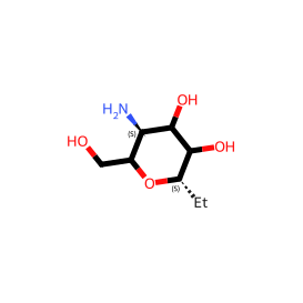 CC[C@@H]1OC(CO)[C@@H](N)C(O)C1O